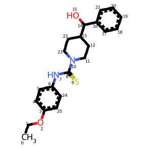 CCOc1ccc(NC(=S)N2CCC(C(O)c3ccccc3)CC2)cc1